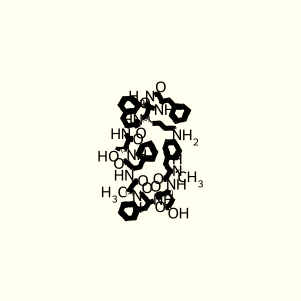 CNC(Cc1ccccc1)C(=O)N[C@@H](CC(=O)O)C(=O)NC(Cc1ccccc1)C(=O)N[C@@H](C)C(=O)NC(Cc1ccccc1)C(=O)N[C@@H](CO)C(=O)NC(Cc1ccccc1)C(=O)N[C@@H](CCCCN)C(=O)NC(Cc1ccccc1)C(N)=O